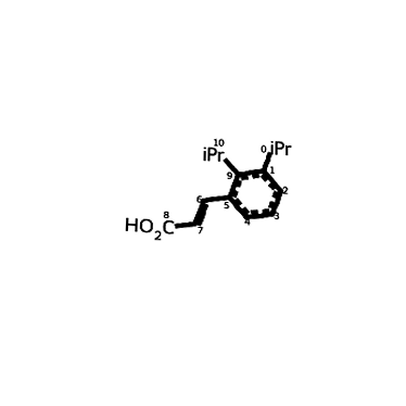 CC(C)c1cccc(/C=C/C(=O)O)c1C(C)C